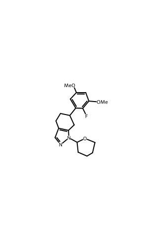 COc1cc(OC)c(F)c(C2CCc3cnn(C4CCCCO4)c3C2)c1